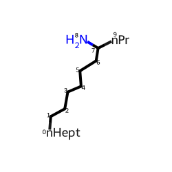 CCCCCCCCCCCCCC(N)CCC